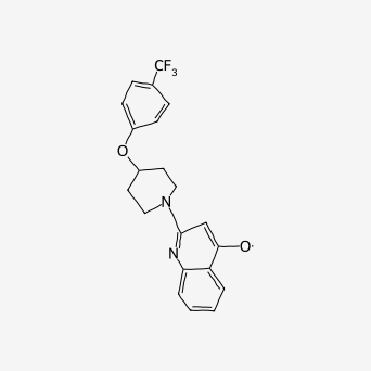 [O]c1cc(N2CCC(Oc3ccc(C(F)(F)F)cc3)CC2)nc2ccccc12